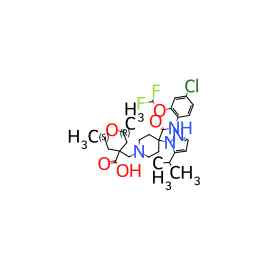 CC(C)c1ccnn1C1(C(=O)Nc2ccc(Cl)cc2OC(F)F)CCN(CC2(C(=O)O)C[C@@H](C)O[C@@H](C)C2)CC1